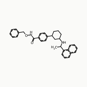 CC(NC1CCCC(c2ccc(C(=O)NOCc3ccccc3)cc2)C1)c1cccc2ccccc12